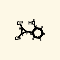 Oc1ccccc1C1C(Cl)C1Cl